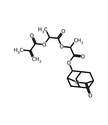 C=C(C)C(=O)OC(C)C(=O)OC(C)C(=O)OC1C2CC3CC(C2)C(=O)OC1C3